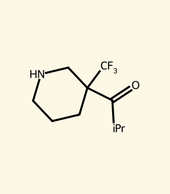 CC(C)C(=O)C1(C(F)(F)F)CCCNC1